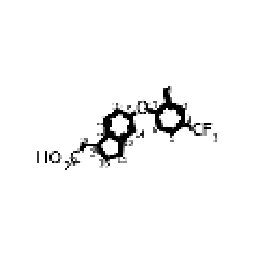 Cc1cc(C(F)(F)F)ccc1Oc1ccc2c(c1)CC[C@H]2CC(=O)O